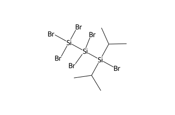 CC(C)[Si](Br)(C(C)C)[Si](Br)(Br)[Si](Br)(Br)Br